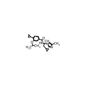 Cc1cn([C@@](C)(CC2CC2)NC(=O)c2ccc(C3CC3)c(OC(C)C)c2)cn1